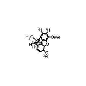 [2H]OC1C=C[C@H]2[C@@H]3N(C)CC[C@@]24c2c(c(OC)c([2H])c([2H])c2C3([2H])[2H])OC14